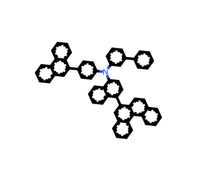 c1ccc(-c2cccc(N(c3ccc(-c4cc5ccccc5c5ccccc45)cc3)c3ccc(-c4cc5ccccc5c5c4ccc4ccccc45)c4ccccc34)c2)cc1